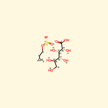 CCCO[SH](=O)=O.O=C(O)[C@H](O)[C@@H](O)[C@H](O)[C@H](O)CO